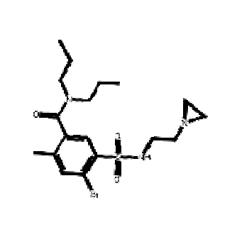 CCCN(CCC)C(=O)c1cc(S(=O)(=O)NCCN2CC2)c(Br)cc1C